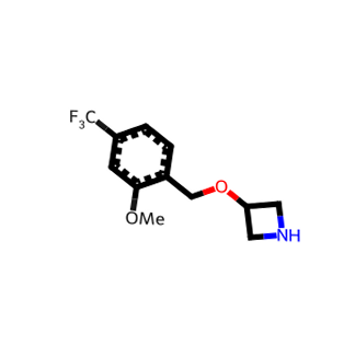 COc1cc(C(F)(F)F)ccc1COC1CNC1